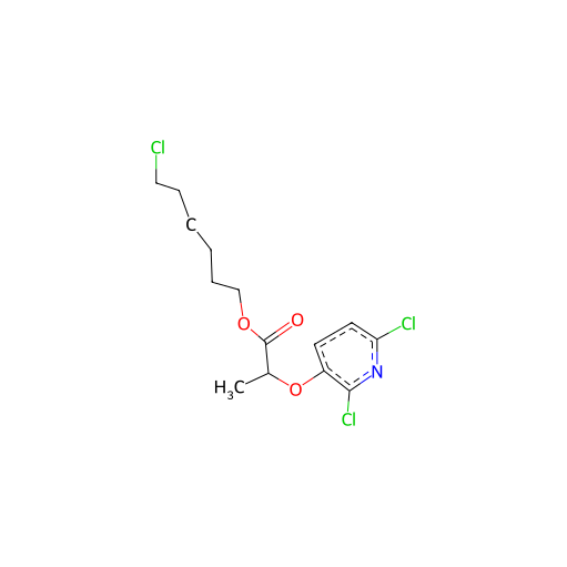 CC(Oc1ccc(Cl)nc1Cl)C(=O)OCCCCCCCl